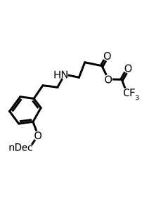 CCCCCCCCCCOc1cccc(CCNCCC(=O)OC(=O)C(F)(F)F)c1